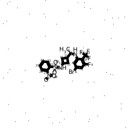 C[C@H](Nc1cc(Br)cc(F)c1C(F)(F)F)C1CC(NS(=O)(=O)c2ccccc2[N+](=O)[O-])C1